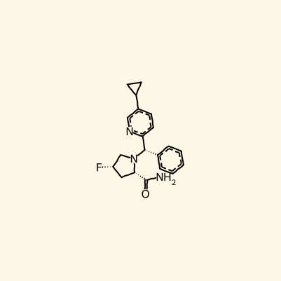 NC(=O)[C@@H]1C[C@H](F)CN1[C@@H](c1ccccc1)c1ccc(C2CC2)cn1